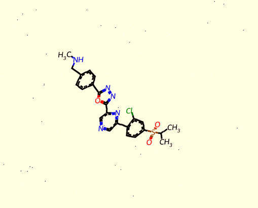 CNCc1ccc(-c2nnc(-c3cncc(-c4ccc(S(=O)(=O)C(C)C)cc4Cl)n3)o2)cc1